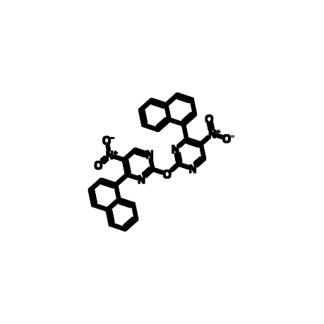 O=[N+]([O-])c1cnc(Oc2ncc([N+](=O)[O-])c(-c3cccc4ccccc34)n2)nc1-c1cccc2ccccc12